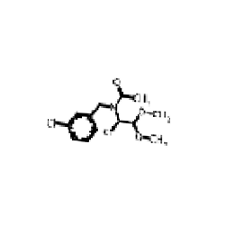 COC(OC)C(Cl)N(Cc1cccc(Cl)c1)C(C)=O